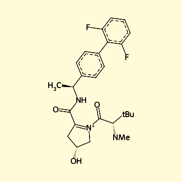 CN[C@H](C(=O)[N+]1=C(C(=O)N[C@@H](C)c2ccc(-c3c(F)cccc3F)cc2)C[C@@H](O)C1)C(C)(C)C